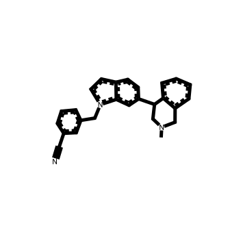 CN1Cc2ccccc2C(c2ccc3ccn(Cc4cccc(C#N)c4)c3c2)C1